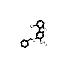 Nc1cc2oc3cccc(Cl)c3c2cc1OCc1ccccc1